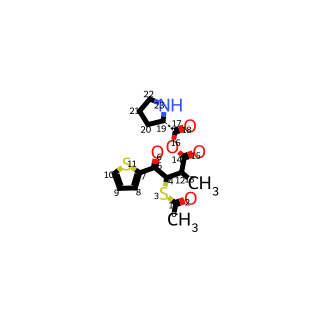 CC(=O)SC(C(=O)c1cccs1)C(C)C(=O)OC(=O)[C@@H]1CCCN1